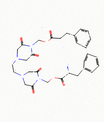 C[C@H]([C@H](C)N1CC(=O)N(COC(=O)[C@@H](N)Cc2ccccc2)C(=O)C1)N1CC(=O)N(COC(=O)[C@@H](N)Cc2ccccc2)C(=O)C1.Cl